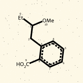 CCC(Cc1ccccc1C(=O)O)OC